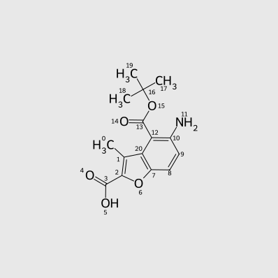 Cc1c(C(=O)O)oc2ccc(N)c(C(=O)OC(C)(C)C)c12